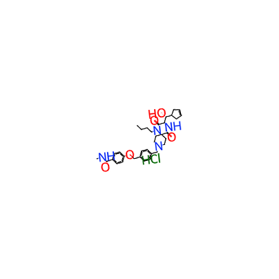 CCCCN1C(=O)[C@@H]([C@H](O)C2CC=CC2)NC(=O)C12CCN(Cc1ccc(COc3ccc(C(=O)NC)cc3)cc1)CC2.Cl